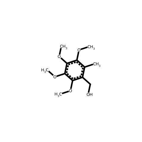 COc1c(C)c(CO)c(OC)c(OC)c1OC